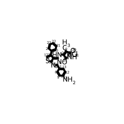 CC1=C(Nc2nc(-c3ccc(N)cc3)nc3scc(-c4ccccc4)c23)C(=O)NC1=O.Cl